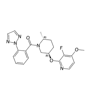 COc1ccnc(O[C@@H]2CC[C@@H](C)N(C(=O)c3ccccc3-n3nccn3)C2)c1F